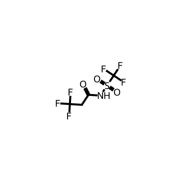 O=C(CC(F)(F)F)NS(=O)(=O)C(F)(F)F